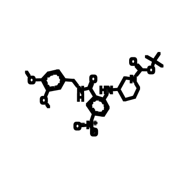 COc1ccc(CNC(=O)c2cc([N+](=O)[O-])ccc2NC2CCCN(C(=O)OC(C)(C)C)C2)cc1OC